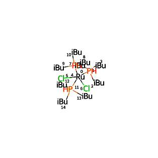 CCC(C)[PH](C(C)CC)(C(C)CC)[Ru]([Cl])([Cl])([PH](C(C)CC)(C(C)CC)C(C)CC)[PH](C(C)CC)(C(C)CC)C(C)CC